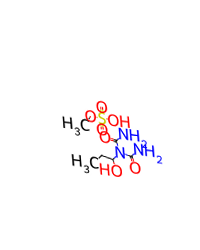 CCC(O)N(C(N)=O)C(N)=O.COS(=O)(=O)O